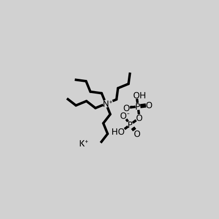 CCCC[N+](CCCC)(CCCC)CCCC.O=P([O-])(O)OP(=O)([O-])O.[K+]